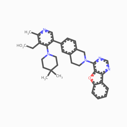 Cc1ncc(-c2ccc3c(c2)CCN(c2ncnc4c2oc2ccccc24)C3)c(N2CCC(C)(C)CC2)c1CC(=O)O